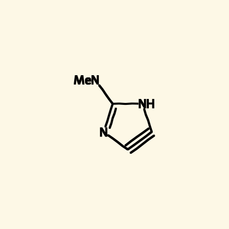 CNc1nc#c[nH]1